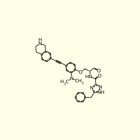 CN(C)c1cc(C#Cc2ccc3c(c2)CNCC3)ccc1OC[C@@H](C=O)NC(=O)c1n[nH]c(Cc2ccccc2)n1